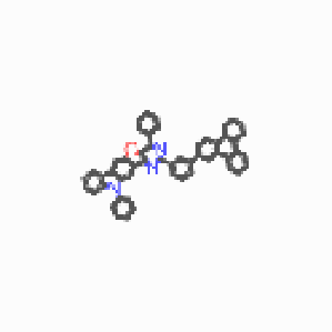 c1ccc(-c2nc(-c3cccc(-c4ccc5c6ccccc6c6ccccc6c5c4)c3)nc3c2oc2cc4c5ccccc5n(-c5ccccc5)c4cc23)cc1